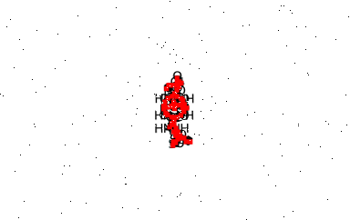 C=C1C(OCc2ccccc2)=C2C=C(C)N1CC(=O)NCCN(CCN(CCNC)CCNC(=O)Cn1c(C)cc(C(=O)N3CCSC3=S)c(OCc3ccccc3)c1=O)CCNC(=O)Cn1ccc(c(OCc3ccccc3)c1=O)C(=O)NCCN(CCNC(=O)c1cc(C)n(CC=O)c(=O)c1OCc1ccccc1)CCNC2=O